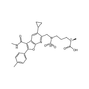 CNC(=O)c1c(-c2ccc(C)cc2)oc2nc(CN(CCC[C@@H](C)C(=O)O)[SH](=O)=O)c(C3CC3)cc12